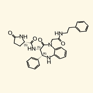 O=C(CN1C(=O)[C@@H](NC(=O)[C@@H]2CCC(=O)N2)[C@@H](c2ccccc2)Nc2ccccc21)NCCc1ccccc1